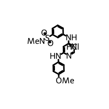 CNS(=O)(=O)c1cccc(Nc2cc(Nc3ccc(OC)cc3)ncn2)c1.Cl